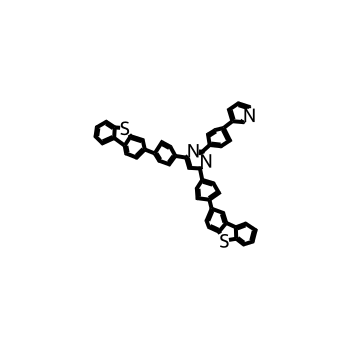 c1cncc(-c2ccc(-c3nc(-c4ccc(-c5ccc6c(c5)sc5ccccc56)cc4)cc(-c4ccc(-c5ccc6sc7ccccc7c6c5)cc4)n3)cc2)c1